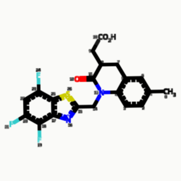 Cc1ccc2c(c1)CC(CC(=O)O)C(=O)N2Cc1nc2c(F)c(F)cc(F)c2s1